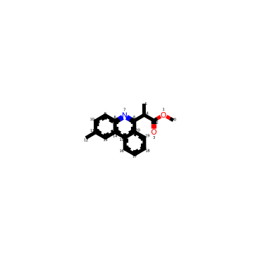 COC(=O)C(C)c1nc2ccc(C)cc2c2ccccc12